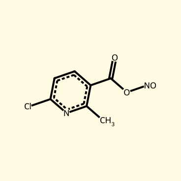 Cc1nc(Cl)ccc1C(=O)ON=O